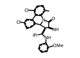 COc1ccccc1N/C(=C1\C(=N)C(=O)N2c3c(C)ccc(Cl)c3-c3cc(Cl)ccc3C12)C(C)C